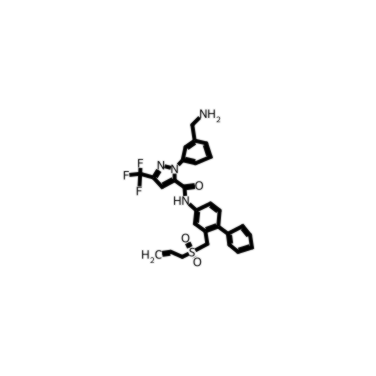 C=CCS(=O)(=O)Cc1cc(NC(=O)c2cc(C(F)(F)F)nn2-c2cccc(CN)c2)ccc1-c1ccccc1